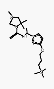 C=C(NC(C)n1ccc(OCCC[Si](C)(C)C)n1)N1C[C@@H](C)CC1(C)C